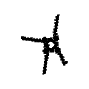 CCCCCCCCCCCCCOc1cccc(C2=C3C=CC(=N3)C(c3cccc(OCCCCCCCCCCCCC)c3)=C3C=CC(=N3)C(c3cccc(OCCCCCCCCCCCCC)c3)=C3C=CC(=N3)C(c3ccc(OCCCCCCOC(C)=O)cc3)=C3C=CC2=N3)c1